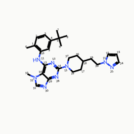 Cc1ccc(C(C)(C)C)cc1Nc1nc(N2CCC(CCn3cccn3)CC2)nc2ncn(C)c12